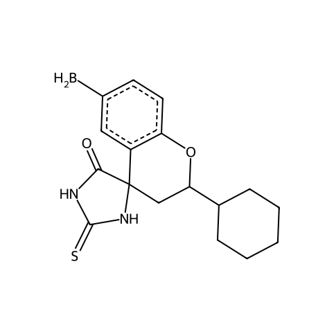 Bc1ccc2c(c1)C1(CC(C3CCCCC3)O2)NC(=S)NC1=O